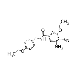 CCOc1ccc(CNC(=O)c2cc(N)c(C#N)c(OCC)n2)cc1